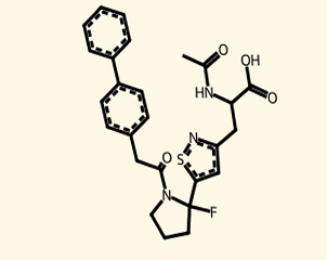 CC(=O)NC(Cc1cc(C2(F)CCCN2C(=O)Cc2ccc(-c3ccccc3)cc2)sn1)C(=O)O